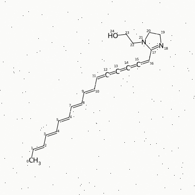 CC=CC=CC=CC=CC=CC=C=C=C=C=CC1=NCCN1CCO